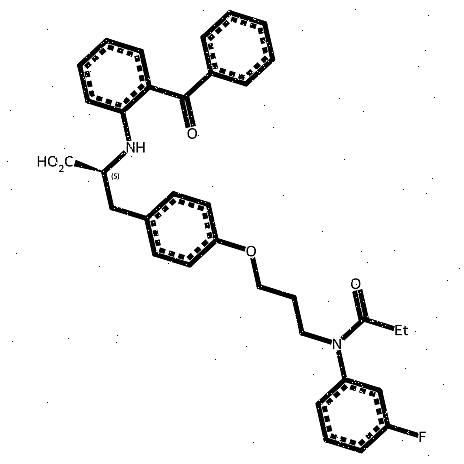 CCC(=O)N(CCCOc1ccc(C[C@H](Nc2ccccc2C(=O)c2ccccc2)C(=O)O)cc1)c1cccc(F)c1